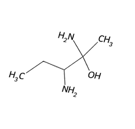 CCC(N)C(C)(N)O